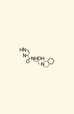 C/N=C(\C=C/NC)C(=O)NC[C@@H](O)CN1CCc2ccccc2C1